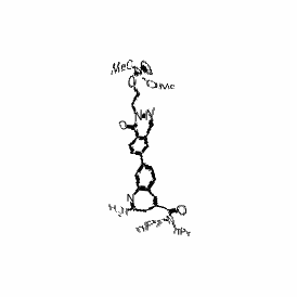 CCCN(CCC)C(=O)C1=Cc2ccc(-c3ccc4c(=O)n(CCOP(=O)(OC)OC)ncc4c3)cc2N=C(N)C1